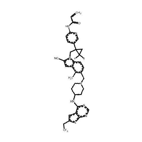 C=CC(=O)Nc1ccc(C2(Cn3c(C#N)cc4c(C)c(CN5CCC(Nc6ncnc7sc(CC(F)(F)F)cc67)CC5)ccc43)CC2(F)F)cn1